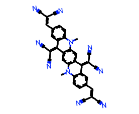 CN1c2ccc(C=C(C#N)C#N)cc2C(=C(C#N)C#N)c2cc3c(cc21)C(=C(C#N)C#N)c1cc(C=C(C#N)C#N)ccc1N3C